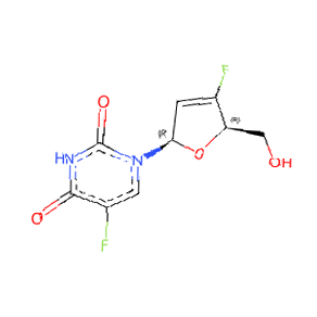 O=c1[nH]c(=O)n([C@H]2C=C(F)[C@@H](CO)O2)cc1F